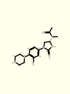 CC(=O)N(C)[C@H]1CN(c2ccc(N3CCOCC3)c(F)c2)C(=O)O1